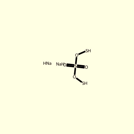 O=S(=O)(OS)OS.[NaH].[NaH]